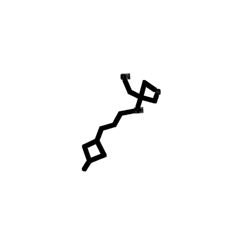 CC1CC(CCCNC2(CO)COC2)C1